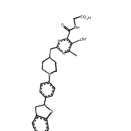 Cc1nc(CC2CCN(c3ccc(C4Cc5ccccc5S4)cc3)CC2)nc(C(=O)NCC(=O)O)c1O